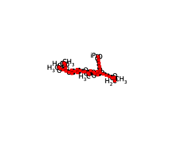 C=C(C)C(=O)OCCCCCCOc1ccc(C(=O)Oc2ccc(OC(=O)/C=C/c3ccc(-c4ccc(OCCC(COC(=O)C(=C)C)COC(=O)C(=C)C)cc4)cc3)c(C)c2)cc1OCCCCCCOC(=O)C(C)C